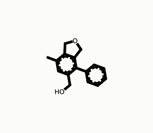 Cc1cc(CO)c(-c2ccccc2)c2c1COC2